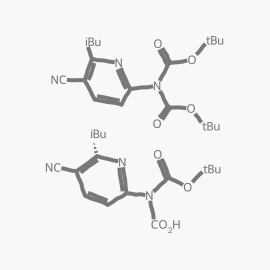 CCC(C)c1nc(N(C(=O)OC(C)(C)C)C(=O)OC(C)(C)C)ccc1C#N.CC[C@@H](C)c1nc(N(C(=O)O)C(=O)OC(C)(C)C)ccc1C#N